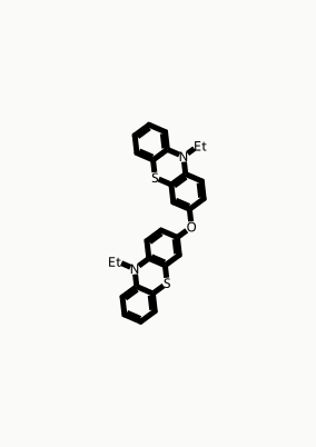 CCN1c2ccccc2Sc2cc(Oc3ccc4c(c3)Sc3ccccc3N4CC)ccc21